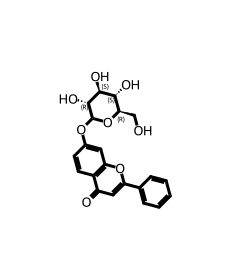 O=c1cc(-c2ccccc2)oc2cc(OC3O[C@H](CO)[C@@H](O)[C@H](O)[C@H]3O)ccc12